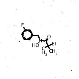 CCC(C)(C)C(=O)N(O)Cc1cccc(F)c1